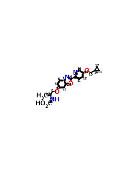 C[C@@H](COc1ccc2nc(-c3ccc(OCC4CC4)cn3)oc2c1)NC(=O)O